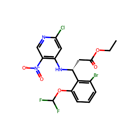 CCOC(=O)C[C@@H](Nc1cc(Cl)ncc1[N+](=O)[O-])c1c(Br)cccc1OC(F)F